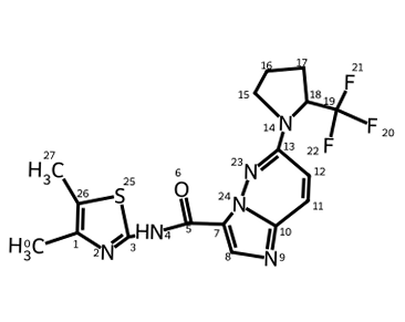 Cc1nc(NC(=O)c2cnc3ccc(N4CCCC4C(F)(F)F)nn23)sc1C